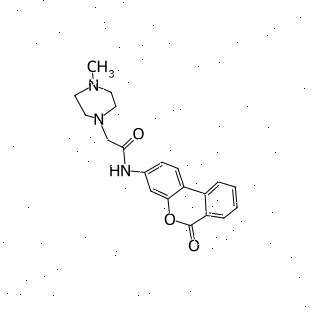 CN1CCN(CC(=O)Nc2ccc3c(c2)oc(=O)c2ccccc23)CC1